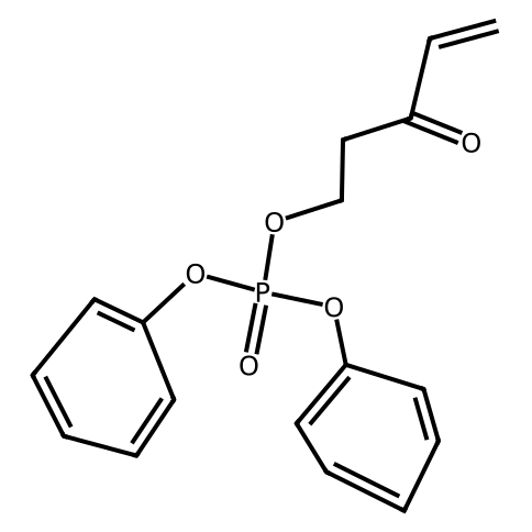 C=CC(=O)CCOP(=O)(Oc1ccccc1)Oc1ccccc1